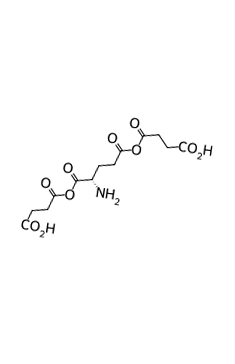 N[C@@H](CCC(=O)OC(=O)CCC(=O)O)C(=O)OC(=O)CCC(=O)O